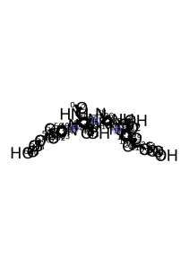 CC(=O)Nc1cc(/N=N/c2cc(/N=N/c3ccc(S(=O)(=O)CCOSOOO)cc3S(=O)(=O)O)c(N)cc2N)c(S(=O)(=O)O)cc1/N=N/c1ccc(S(=O)(=O)CCOSOOO)cc1